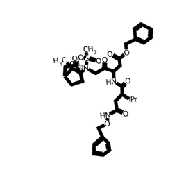 CC(C)C(CC(=O)NOCc1ccccc1)C(=O)NC(CC(=O)OCc1ccccc1)C(=O)CN(C12CCC(CC1=O)C2(C)C)S(C)(=O)=O